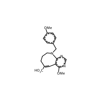 COc1ccc(CN2CCC/C(C(=O)O)=C\c3c(OC)ncnc32)cc1